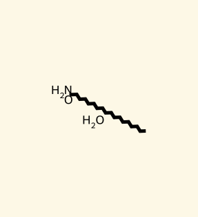 CCCCCCCCCCCCCCCCCC(N)=O.O